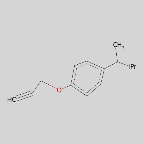 C#CCOc1ccc(C(C)C(C)C)cc1